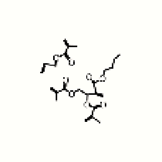 C=C(C)C(=O)OCC(OC(=O)C(=C)C)C(=C)C(=O)OCCCC.C=CCOC(=O)C(=C)C